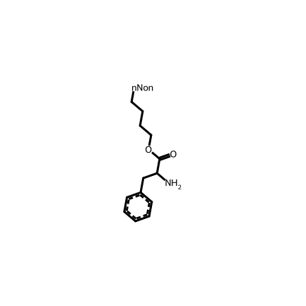 CCCCCCCCCCCCCOC(=O)C(N)Cc1ccccc1